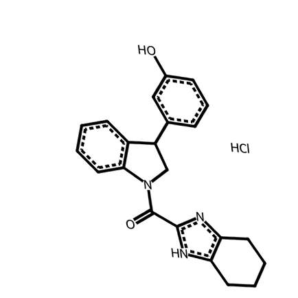 Cl.O=C(c1nc2c([nH]1)CCCC2)N1CC(c2cccc(O)c2)c2ccccc21